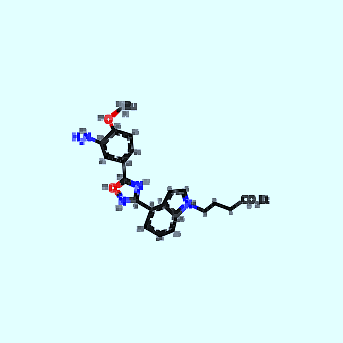 CCOC(=O)CCCn1ccc2c(-c3noc(-c4ccc(O[C@H](C)CC)c(N)c4)n3)cccc21